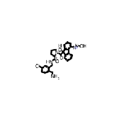 NCc1ccc(Cl)cc1CNC(=O)[C@@H]1CCCN1C(=O)C1(O)c2ccccc2-c2c(/N=N/O)cccc21